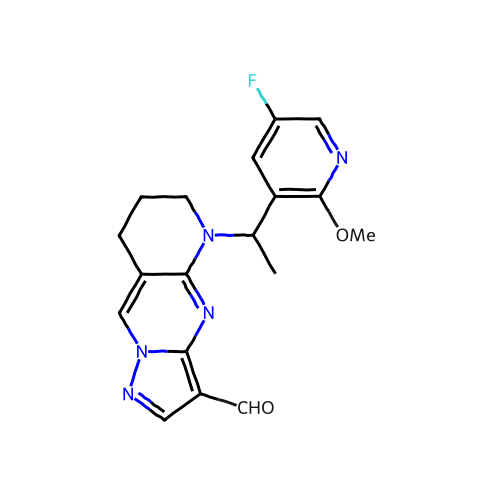 COc1ncc(F)cc1C(C)N1CCCc2cn3ncc(C=O)c3nc21